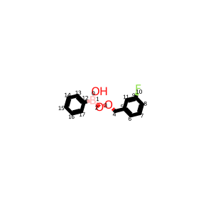 OB(OOCc1cccc(F)c1)c1ccccc1